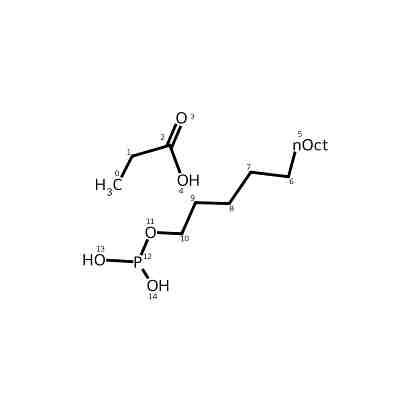 CCC(=O)O.CCCCCCCCCCCCCOP(O)O